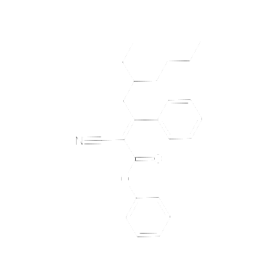 CCCCC(CC)CC(=C(C#N)C(=O)Oc1ccccc1)c1ccccc1